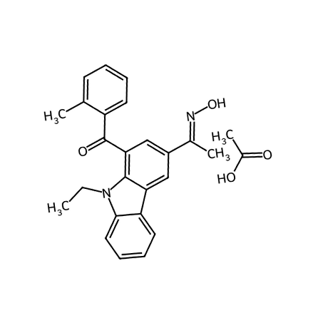 CC(=O)O.CCn1c2ccccc2c2cc(C(C)=NO)cc(C(=O)c3ccccc3C)c21